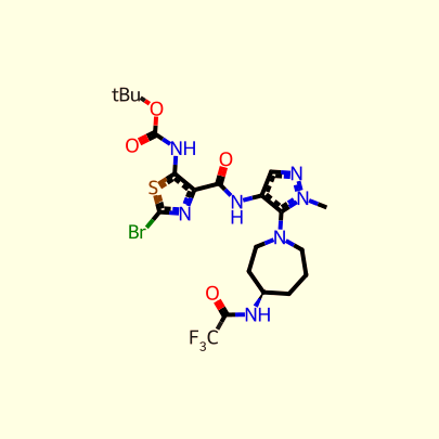 Cn1ncc(NC(=O)c2nc(Br)sc2NC(=O)OC(C)(C)C)c1N1CCC[C@@H](NC(=O)C(F)(F)F)CC1